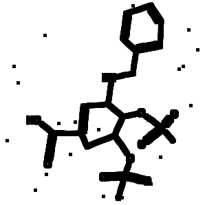 CS(=O)(=O)OC1CC(C(=O)O)=CC(NCc2ccccc2)C1OS(C)(=O)=O